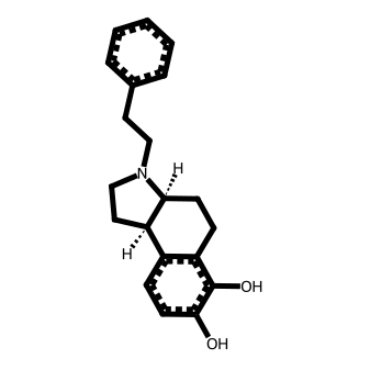 Oc1ccc2c(c1O)CC[C@H]1[C@@H]2CCN1CCc1ccccc1